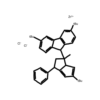 CC(C)(C)C1=CC2C(=C1)C(c1ccccc1)CC2(C)C1c2ccc(C(C)(C)C)cc2-c2cc(C(C)(C)C)ccc21.[Cl-].[Cl-].[Zr+2]